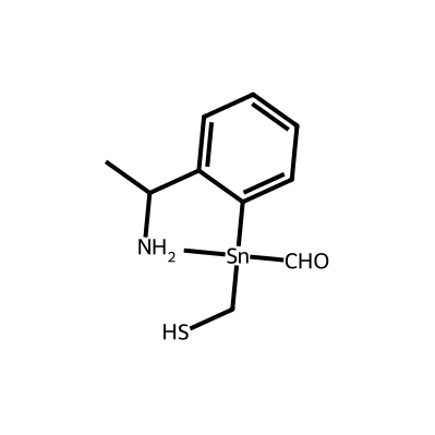 CC(N)c1cccc[c]1[Sn]([CH3])([CH]=O)[CH2]S